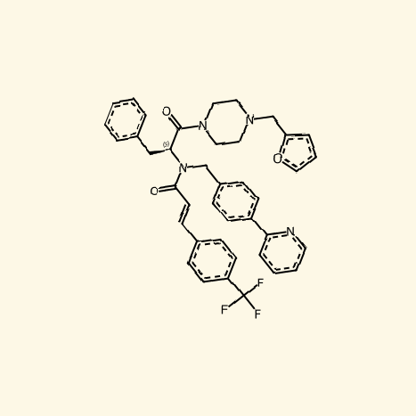 O=C([C@H](Cc1ccccc1)N(Cc1ccc(-c2ccccn2)cc1)C(=O)C=Cc1ccc(C(F)(F)F)cc1)N1CCN(Cc2ccco2)CC1